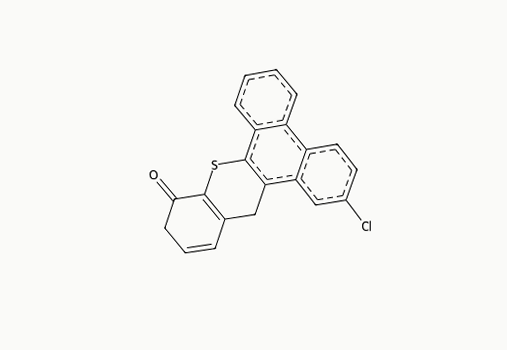 O=C1CC=CC2=C1Sc1c(c3cc(Cl)ccc3c3ccccc13)C2